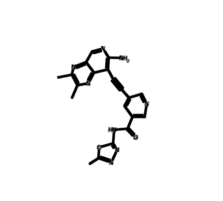 Cc1nnc(NC(=O)c2cncc(C#Cc3c(N)ncc4nc(C)c(C)nc34)c2)o1